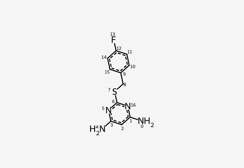 Nc1cc(N)nc(SCc2ccc(F)cc2)n1